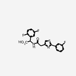 O=C(Cc1csc(-c2cccc(F)c2)n1)NC(C(=O)O)c1cc(F)ccc1F